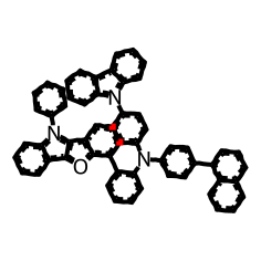 c1ccc(-n2c3ccccc3c3oc4c(-c5ccccc5N(c5ccc(-c6cccc7ccccc67)cc5)c5ccc(-n6c7ccccc7c7ccccc76)cc5)cccc4c32)cc1